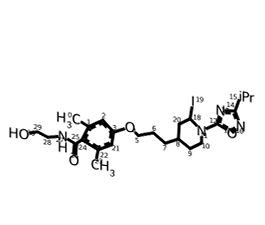 Cc1cc(OCCCC2CCN(c3nc(C(C)C)no3)C(I)C2)cc(C)c1C(=O)NCCO